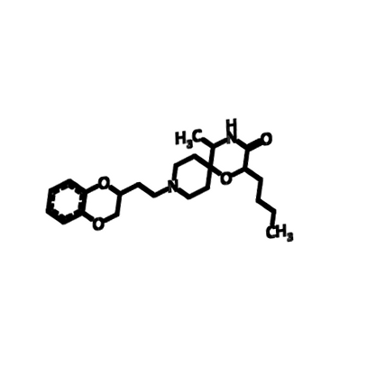 CCCCC1OC2(CCN(CCC3COc4ccccc4O3)CC2)C(C)NC1=O